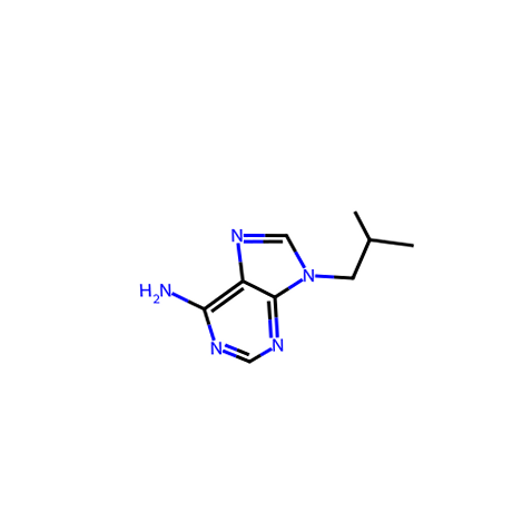 CC(C)Cn1cnc2c(N)ncnc21